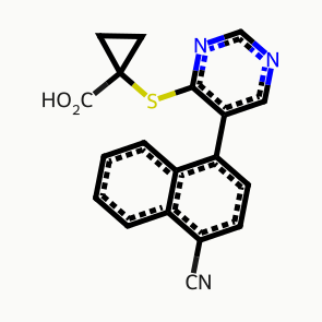 N#Cc1ccc(-c2cncnc2SC2(C(=O)O)CC2)c2ccccc12